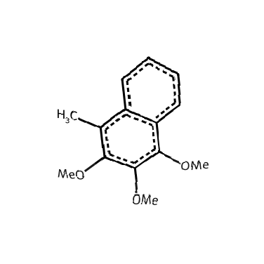 COc1c(OC)c(OC)c2ccccc2c1C